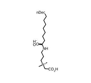 CCCCCCCCCCCCCCCCCC(=O)NCCC[N+](C)(C)CC(=O)O.[OH-]